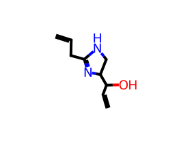 C=CCC1=NC(C(O)C=C)CN1